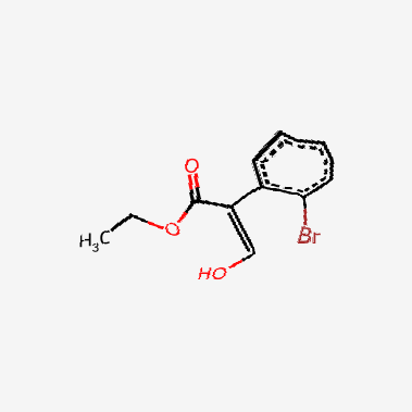 CCOC(=O)/C(=C\O)c1ccccc1Br